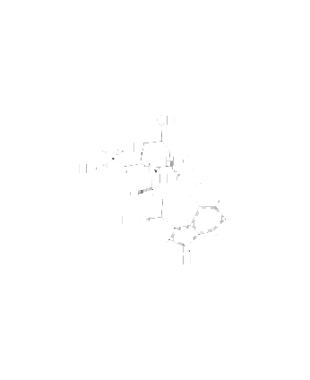 CSOc1cccc2[nH]cc(C(C)CC(=O)N3C(C)CC(C)CC3CC(C)(C)C)c12